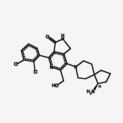 N[C@@H]1CCCC12CCN(c1c(CO)nc(-c3cccc(Cl)c3Cl)c3c1CNC3=O)CC2